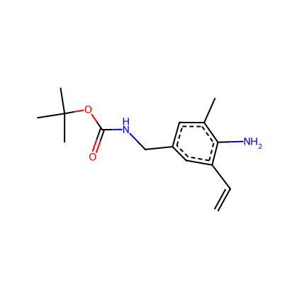 C=Cc1cc(CNC(=O)OC(C)(C)C)cc(C)c1N